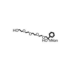 CCCCCCCCCC(O)(COCCOCCOCCOCCO)c1ccccc1